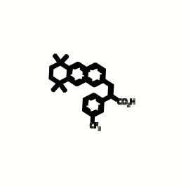 CC1(C)CCC(C)(C)c2cc3cc(C=C(C(=O)O)c4cccc(C(F)(F)F)c4)ccc3cc21